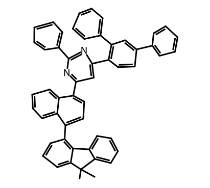 CC1(C)c2ccccc2-c2c(-c3ccc(-c4cc(-c5ccc(-c6ccccc6)cc5-c5ccccc5)nc(-c5ccccc5)n4)c4ccccc34)cccc21